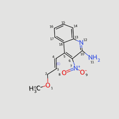 COC/C=C/c1c([N+](=O)[O-])c(N)nc2ccccc12